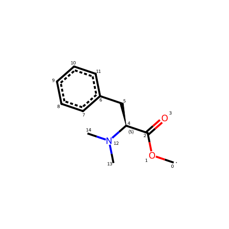 [CH2]OC(=O)[C@H](Cc1ccccc1)N(C)C